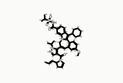 C/C=C/C1CC=CN1C(=O)c1cnn(C(C)C)c1C1=Cc2cc(OC)ccc2-c2c(C3CCCCC3)c3ccc(C(=O)NS(=O)(=O)C(C)C)cc3n2C1